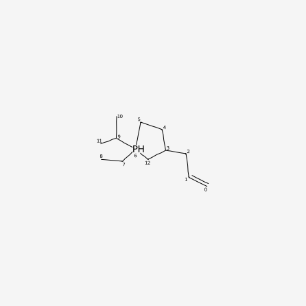 C=CCC1CC[PH](CC)(C(C)C)C1